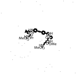 COC(=O)NCCCC[C@H](NC(=O)OC)C(=O)N1CCC[C@H]1c1nc(-c2ccc(C#Cc3ccc4[nH]c([C@@H]5CC6(CC6)CN5C(=O)[C@@H](NC(=O)OC)C(C)C)nc4c3)cc2)c[nH]1